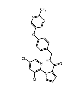 O=C(NCc1ccc(Oc2cnc(C(F)(F)F)nc2)cc1)c1cccn1-c1ncc(Cl)cc1Cl